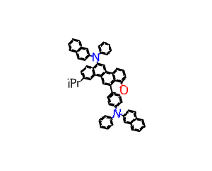 CC(C)c1ccc2c(N(c3ccccc3)c3ccc4ccccc4c3)cc3c4cccc5c4c(cc3c2c1)-c1ccc(N(c2ccccc2)c2ccc3ccccc3c2)cc1O5